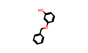 Oc1cc[c]c(OCc2ccccc2)c1